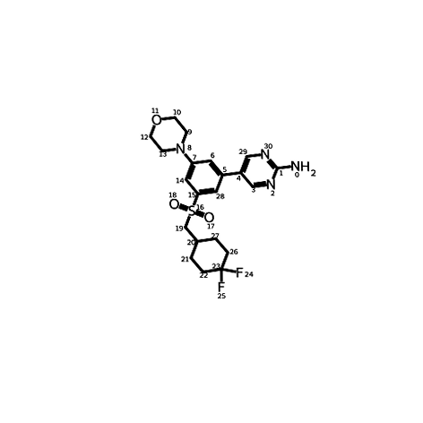 Nc1ncc(-c2cc(N3CCOCC3)cc(S(=O)(=O)CC3CCC(F)(F)CC3)c2)cn1